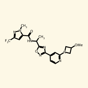 COC1CN(c2cc(-c3noc(C(C)NC(=O)c4cc(C(F)(F)F)nn4C)n3)ccn2)C1